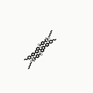 CCCCCCOc1ncc(-c2ccc(C(=O)Oc3ccc4cc(-c5ccc(C6CCC(CCC)CC6)cc5)ccc4c3-c3c(OC(=O)c4ccc(-c5cnc(OCCCCCC)nc5)cc4)ccc4cc(-c5ccc(C6CCC(CCC)CC6)cc5)ccc34)cc2)cn1